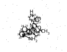 C[C@H](Oc1cc(N2CCNC[C@]23CCOC3)nc(-c2onc3c2CCC[C@@]32CCCc3sc(N)c(C#N)c32)n1)[C@@H]1CCCN1C